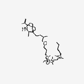 C=C(C)C(=O)NC(C)C(=O)CCC(C)COCCC[Si](C)(C)O[Si](C)(C)C[Si](C)(C)CCCC